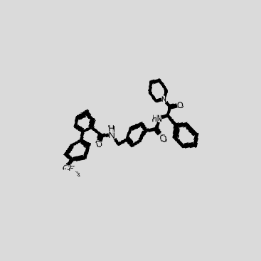 O=C(NC(C(=O)N1CCCCC1)c1ccccc1)c1ccc(CNC(=O)c2ccccc2-c2ccc(C(F)(F)F)cc2)cc1